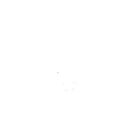 O=C(O)[C@@H](Cc1ccccc1)[C@H](Cc1ccccc1)c1nnn[nH]1